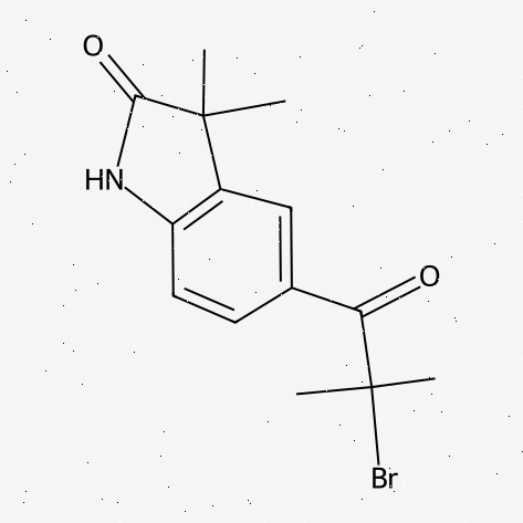 CC(C)(Br)C(=O)c1ccc2c(c1)C(C)(C)C(=O)N2